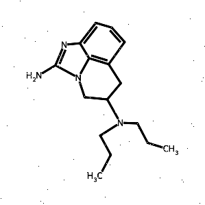 CCCN(CCC)C1Cc2cccc3nc(N)n(c23)C1